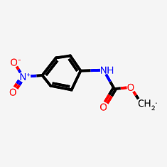 [CH2]OC(=O)Nc1ccc([N+](=O)[O-])cc1